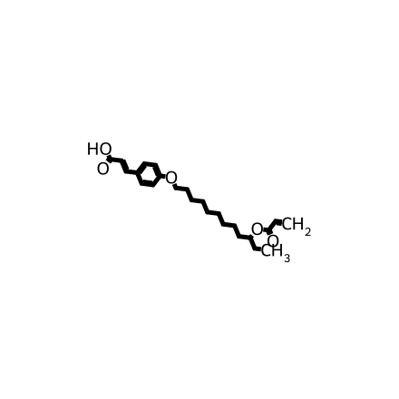 C=CC(=O)OC(CC)CCCCCCCCCOc1ccc(C=CC(=O)O)cc1